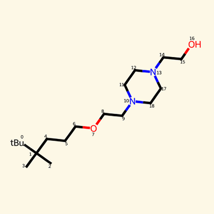 CC(C)(C)C(C)(C)CCCOCCN1CCN(CCO)CC1